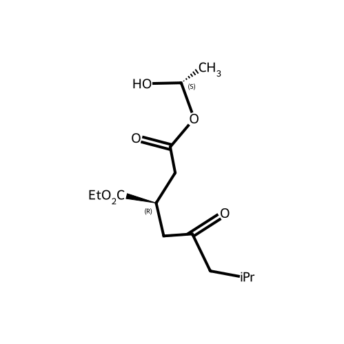 CCOC(=O)[C@H](CC(=O)CC(C)C)CC(=O)O[C@@H](C)O